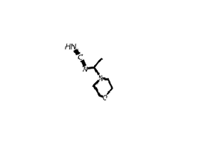 CC(N=C=N)N1CCOCC1